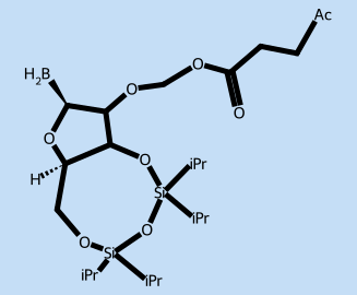 B[C@@H]1O[C@@H]2CO[Si](C(C)C)(C(C)C)O[Si](C(C)C)(C(C)C)OC2C1OCOC(=O)CCC(C)=O